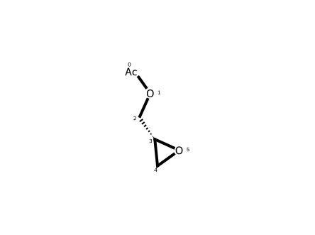 CC(=O)OC[C@H]1CO1